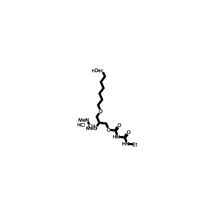 CCCCCCCCCCCCCCCCOCC(COC(=O)NC(=O)NCC)OC.CNC.Cl